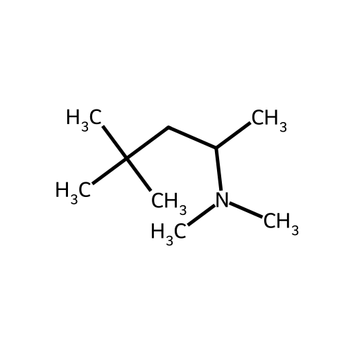 CC(CC(C)(C)C)N(C)C